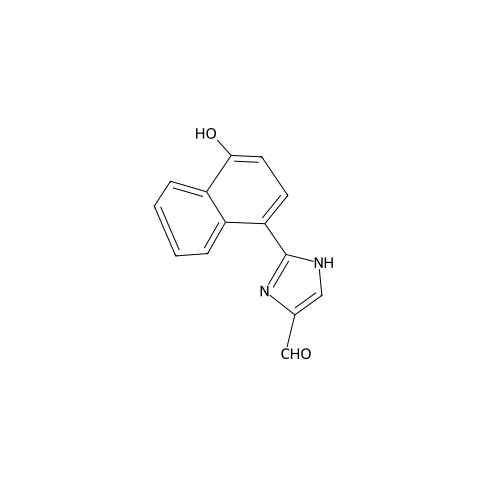 O=Cc1c[nH]c(-c2ccc(O)c3ccccc23)n1